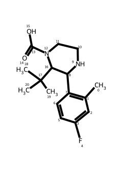 Cc1cc(F)ccc1C1NCCN(C(=O)O)C1C(C)(C)C